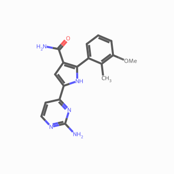 COc1cccc(-c2[nH]c(-c3ccnc(N)n3)cc2C(N)=O)c1C